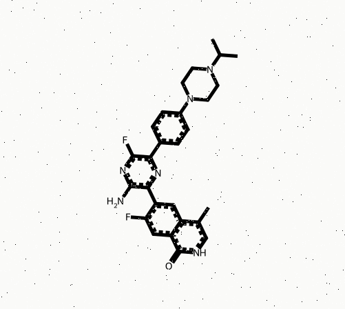 Cc1c[nH]c(=O)c2cc(F)c(-c3nc(-c4ccc(N5CCN(C(C)C)CC5)cc4)c(F)nc3N)cc12